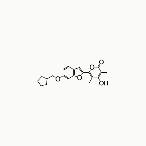 Cc1c(-c2cc3ccc(OCC4CCCC4)cc3o2)oc(=O)c(C)c1O